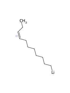 [Li][CH2]CCCCCC/C=C\CC